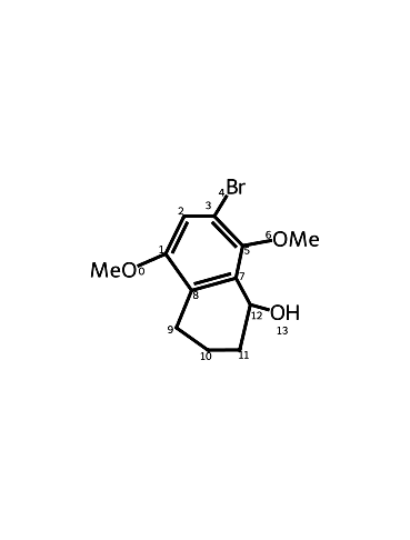 COc1cc(Br)c(OC)c2c1CCCC2O